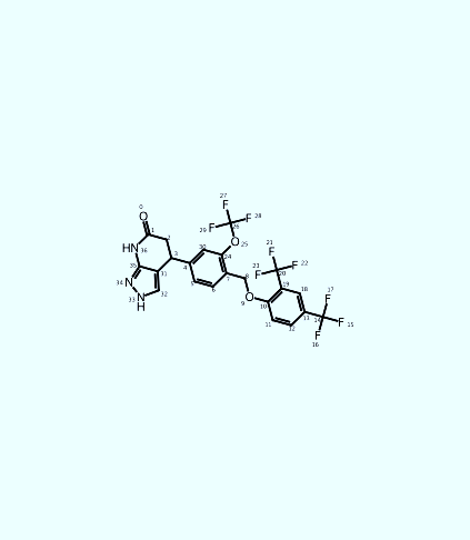 O=C1CC(c2ccc(COc3ccc(C(F)(F)F)cc3C(F)(F)F)c(OC(F)(F)F)c2)c2c[nH]nc2N1